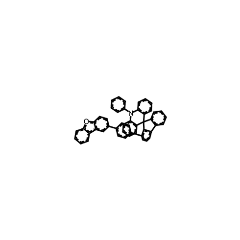 c1ccc(N2c3ccccc3C3(c4ccccc4-c4cccc(-c5ccc(-c6ccc7oc8ccccc8c7c6)cc5)c43)c3ccccc32)cc1